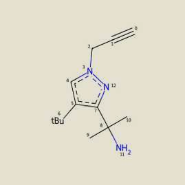 C#CCn1cc(C(C)(C)C)c(C(C)(C)N)n1